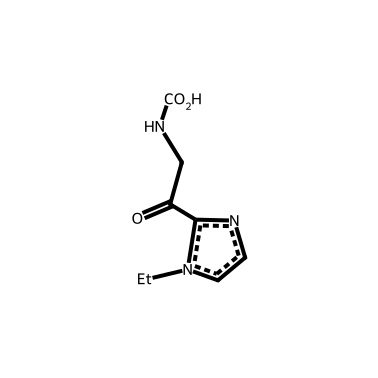 CCn1ccnc1C(=O)CNC(=O)O